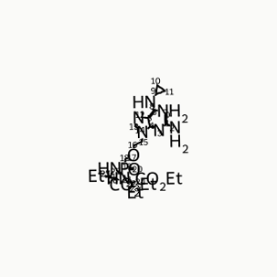 C=C(N)/N=C1\C(=C(/N)NC2CC2)N=CN1CCOCP(=O)(NC(CC)C(=O)OCC)NC(CC)C(=O)OCC